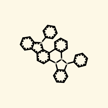 c1ccc(N2B3c4ccccc4-c4c(ccc5c6ccccc6n(-c6ccccc6)c45)N3c3ccccc32)cc1